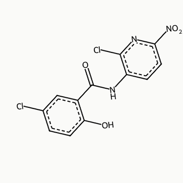 O=C(Nc1ccc([N+](=O)[O-])nc1Cl)c1cc(Cl)ccc1O